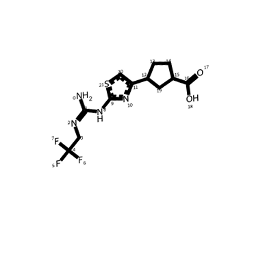 N/C(=N/CC(F)(F)F)Nc1nc(C2CCC(C(=O)O)C2)cs1